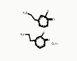 CCCc1cccc(=O)c([O-])c1.CCCc1cccc(=O)c([O-])c1.[Cu+2]